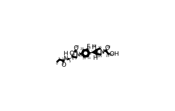 CCC(=O)NC[C@H]1CN(c2ccc([C@H]3[C@@H]4CN(C(=O)CO)C[C@@H]43)c(F)c2)C(=O)O1